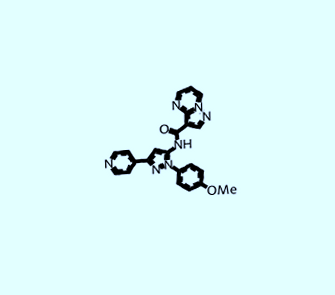 COc1ccc(-n2nc(-c3ccncc3)cc2NC(=O)c2cnn3cccnc23)cc1